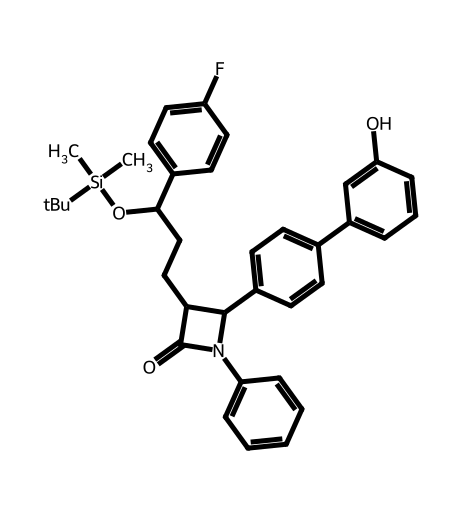 CC(C)(C)[Si](C)(C)OC(CCC1C(=O)N(c2ccccc2)C1c1ccc(-c2cccc(O)c2)cc1)c1ccc(F)cc1